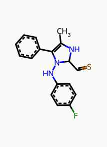 CC1=C(c2ccccc2)N(Nc2ccc(F)cc2)C(C=S)N1